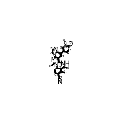 Cc1nc(NC(C)c2cccc(C#N)c2C)c2c(n1)N1CCN=C1C(c1ccc(=O)n(C)c1)=C2